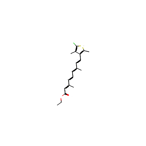 CCOC(=O)/C=C(C)/C=C/C=C(C)/C=C/c1c(C)sc(Cl)c1C